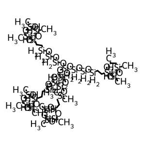 CC1C[SiH](C)O[SiH](C)O[SiH](CC[SiH2]O[SiH2]O[SiH2]O[Si](O[SiH2]O[SiH2]O[SiH2]CC[SiH]2O[SiH](C)O[SiH](C)O[SiH](C)O2)(O[SiH2]O[SiH2]O[SiH2]CC[SiH]2O[SiH](C)O[SiH](C)O[SiH](C)O2)O[SiH2]O[SiH2]O[Si](C)(C)CC[SiH]2O[SiH](C)O[SiH](C)O[SiH](C)O2)O1